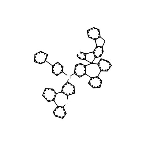 c1ccc(-c2ccc(N(c3ccc4c(c3)-c3ccccc3-c3ccccc3O4)c3ccc4c(c3)-c3ccccc3-c3ccccc3C43c4ccccc4-c4c3ccc3c4-c4ccccc4C3)cc2)cc1